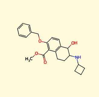 COC(=O)c1c(OCc2ccccc2)ccc2c1CCC(NC1CCC1)C2O